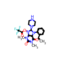 C=Cc1ccccc1N1c2c(n(C)c(=O)n(C)c2=O)N(OC(=O)C(F)(F)F)C1N1CCNCC1